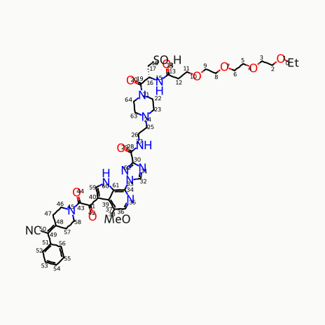 CCOCCOCCOCCOCCC(=O)N[C@@H](CS(=O)(=O)O)C(=O)N1CCN(CCNC(=O)c2ncn(-c3ncc(OC)c4c(C(=O)C(=O)N5CCC(=C(C#N)c6ccccc6)CC5)c[nH]c34)n2)CC1